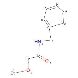 CCOCC(=O)NCc1ccccc1